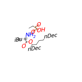 CCCCCCCCCCCCCC(CCCCCCCCCC)OC(=O)[C@@H](N)[C@@H](C)CC.CCS(=O)(=O)O